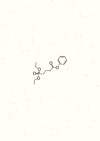 CCOP(=O)(CCCC(=O)Oc1ccccc1)OCC